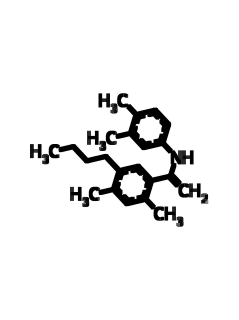 C=C(Nc1ccc(C)c(C)c1)c1cc(CCCC)c(C)cc1C